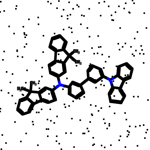 CC1(C)c2ccccc2-c2ccc(N(c3cccc(-c4cccc(-n5c6ccccc6c6ccccc65)c4)c3)c3ccc4c(c3)C(C)(C)c3ccccc3-4)cc21